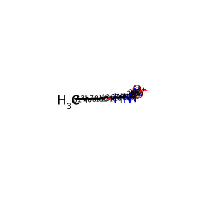 CCCCCCCCCCCCCCCCCCCCCCNc1ccc([N+](=O)[O-])cn1